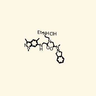 CCNCCN(CC(=O)N(C)N1Cc2ccccc2C1)C(=O)CNc1cc2c(cc1C)c(C)nn2C.Cl